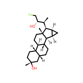 C[C@@H]([C@H]1[C@H]2C[C@H]2[C@H]2[C@@H]3CC[C@@H]4C[C@](C)(O)CC[C@@H]4[C@H]3CC[C@@]21C)[C@H](O)CF